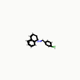 Brc1ccc(CN[C@H]2CCCc3ccccc32)cc1